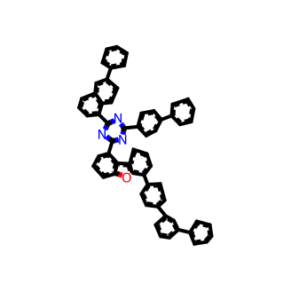 c1ccc(-c2ccc(-c3nc(-c4cccc5cc(-c6ccccc6)ccc45)nc(-c4cccc5oc6c(-c7ccc(-c8cccc(-c9ccccc9)c8)cc7)cccc6c45)n3)cc2)cc1